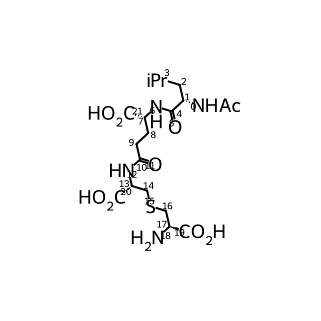 CC(=O)N[C@@H](CC(C)C)C(=O)N[C@H](CCC(=O)N[C@H](CSC[C@H](N)C(=O)O)C(=O)O)C(=O)O